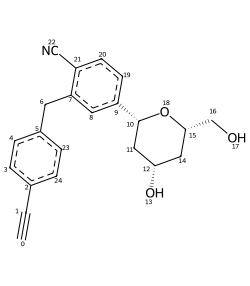 C#Cc1ccc(Cc2cc([C@H]3C[C@@H](O)C[C@@H](CO)O3)ccc2C#N)cc1